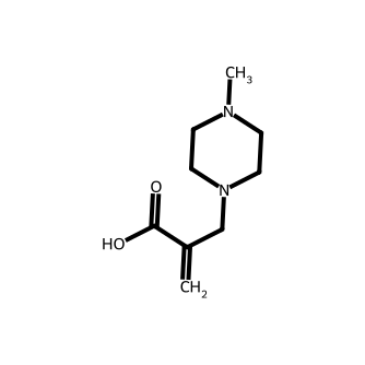 C=C(CN1CCN(C)CC1)C(=O)O